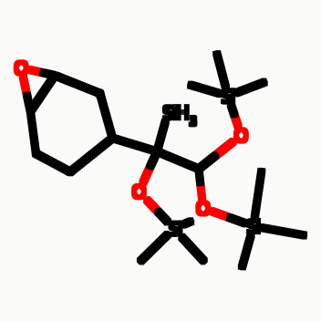 C[Si](C)(C)OC(O[Si](C)(C)C)C([SiH3])(O[Si](C)(C)C)C1CCC2OC2C1